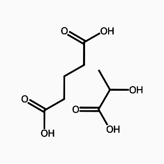 CC(O)C(=O)O.O=C(O)CCCC(=O)O